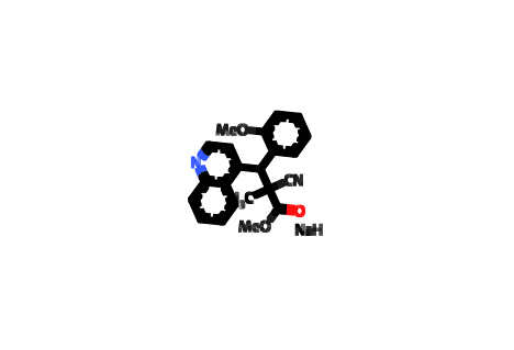 COC(=O)C(C)(C#N)C(c1ccccc1OC)c1ccnc2ccccc12.[NaH]